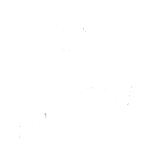 Cc1cc(OCc2cc(C#Cc3ccc(C(F)(F)F)cc3)cc(C#Cc3ccc(C(F)(F)F)cc3)c2)ccc1[O]